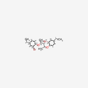 CCc1ccc(OC(C)C[C@H](C)Oc2ccc(CC)cc2Br)c(Br)c1